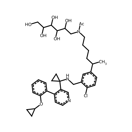 CC(=O)N(CCCCC(C)c1ccc(Cl)c(CNC2(c3cnccc3-c3ccccc3OC3CC3)CC2)c1)CC(O)C(O)C(O)C(O)CO